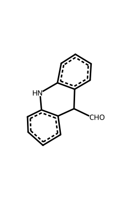 O=CC1c2ccccc2Nc2ccccc21